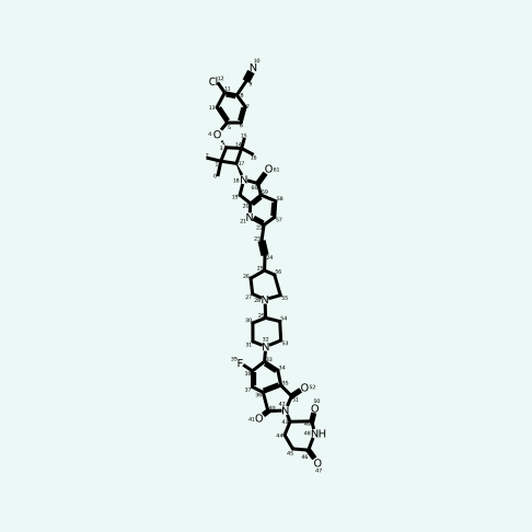 CC1(C)[C@H](Oc2ccc(C#N)c(Cl)c2)C(C)(C)[C@H]1N1Cc2nc(C#CC3CCN(C4CCN(c5cc6c(cc5F)C(=O)N(C5CCC(=O)NC5=O)C6=O)CC4)CC3)ccc2C1=O